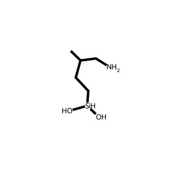 CC(CN)CC[SiH](O)O